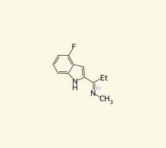 CC/C(=N\C)c1cc2c(F)cccc2[nH]1